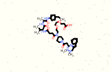 CCc1ccc(NC(=O)[C@H](C)NC(=O)[C@@H](NC(=O)CCC(=O)N(CCOCCOCCC(=O)O)C2CCN(C(=O)CCn3c(CN(C)NC)cc4ccccc43)CC2)C(C)C)cc1